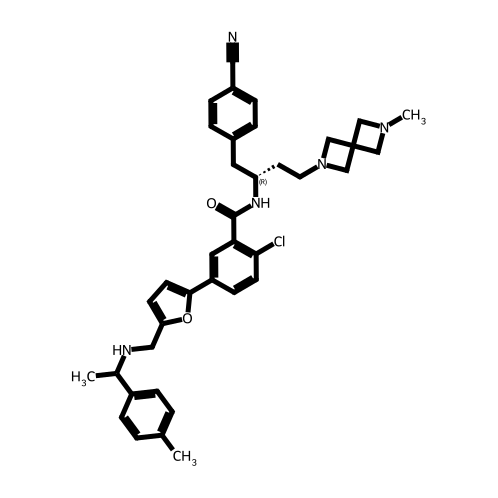 Cc1ccc(C(C)NCc2ccc(-c3ccc(Cl)c(C(=O)N[C@@H](CCN4CC5(CN(C)C5)C4)Cc4ccc(C#N)cc4)c3)o2)cc1